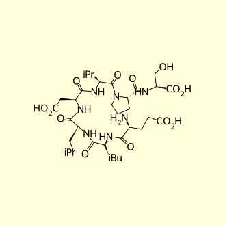 CC[C@H](C)[C@H](NC(=O)[C@@H](N)CCC(=O)O)C(=O)N[C@@H](CC(C)C)C(=O)N[C@@H](CC(=O)O)C(=O)N[C@H](C(=O)N1CCC[C@H]1C(=O)N[C@@H](CO)C(=O)O)C(C)C